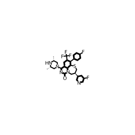 C[C@@H]1CN(c2nc(=O)n3c4c(c(-c5ccc(F)cc5)c(C(F)(F)F)cc24)SC[C@@H](c2cncc(F)c2)C3)C[C@H](C)N1